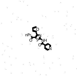 CCCC(=O)c1sc(NC(=O)c2ccncc2)nc1-c1ccco1